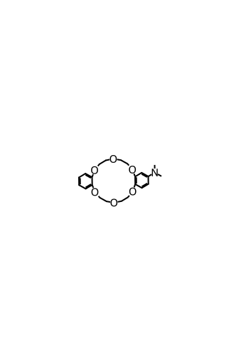 CN(C)c1ccc2c(c1)OCCOCCOc1ccccc1OCCOCCO2